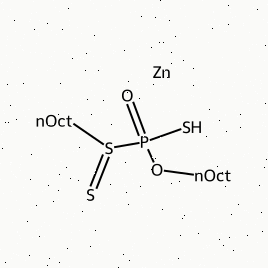 CCCCCCCCOP(=O)(S)S(=S)CCCCCCCC.[Zn]